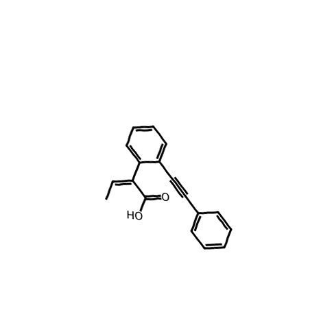 C/C=C(\C(=O)O)c1ccccc1C#Cc1ccccc1